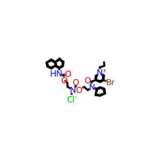 CCC[n+]1cc(Br)cc(C(=O)N(CCOC(=O)N(C)CCOC(=O)Nc2cccc3ccccc23)c2ccccc2)c1.[Cl-]